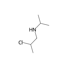 CC(Cl)CNC(C)C